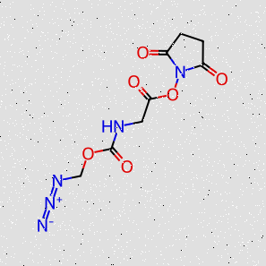 [N-]=[N+]=NCOC(=O)NCC(=O)ON1C(=O)CCC1=O